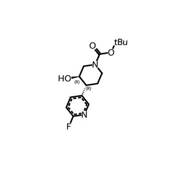 CC(C)(C)OC(=O)N1CC[C@H](c2ccc(F)nc2)[C@@H](O)C1